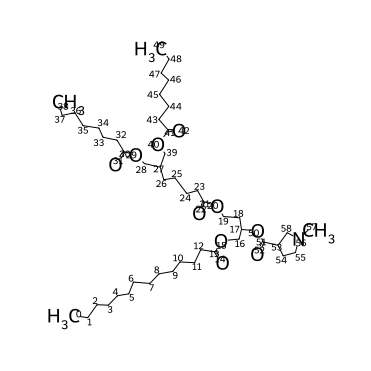 CCCCCCCCCCCCCC(=O)OCC(CCOC(=O)CCCCC(COC(=O)CCCCCCC)COC(=O)CCCCCCC)OC(=O)C1CCN(C)C1